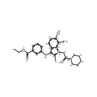 CCOC(=O)c1cccc(Sc2c(C)n(CC(=O)N3CCCCC3)c3c(F)c(Cl)ccc23)c1